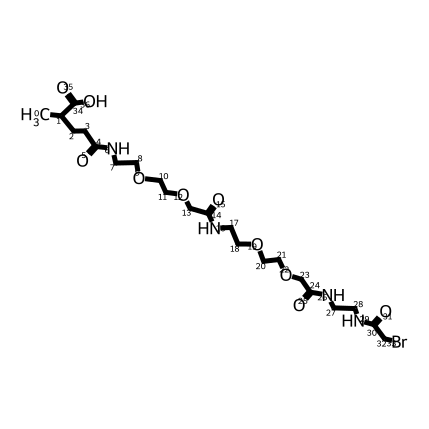 CC(CCC(=O)NCCOCCOCC(=O)NCCOCCOCC(=O)NCCNC(=O)CBr)C(=O)O